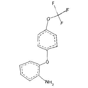 Nc1ccccc1Oc1ccc(OC(F)(F)F)cc1